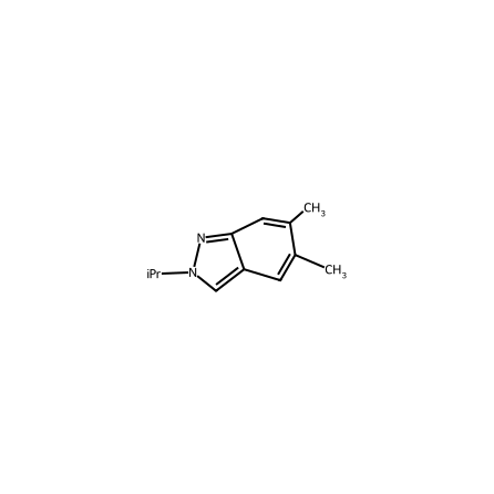 Cc1cc2cn(C(C)C)nc2cc1C